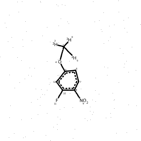 [2H]C([2H])([2H])Oc1ccc([N+](=O)[O-])c(F)c1